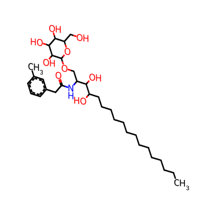 CCCCCCCCCCCCCCC(O)C(O)C(COC1OC(CO)C(O)C(O)C1O)NC(=O)Cc1cccc(C)c1